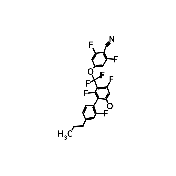 CCCc1ccc(-c2c([O])cc(F)c(C(F)(F)Oc3cc(F)c(C#N)c(F)c3)c2F)c(F)c1